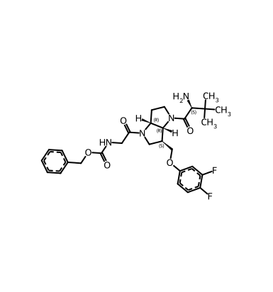 CC(C)(C)[C@H](N)C(=O)N1CC[C@@H]2[C@H]1[C@@H](COc1ccc(F)c(F)c1)CN2C(=O)CNC(=O)OCc1ccccc1